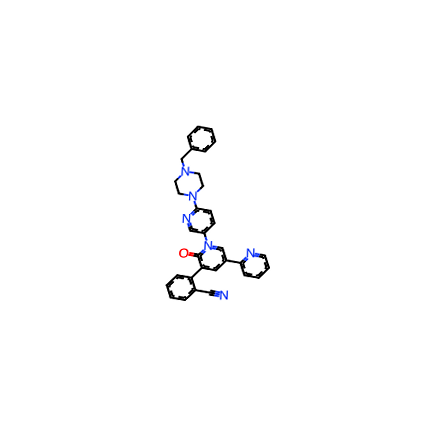 N#Cc1ccccc1-c1cc(-c2ccccn2)cn(-c2ccc(N3CCN(Cc4ccccc4)CC3)nc2)c1=O